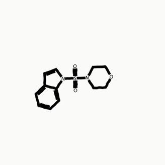 O=S(=O)(N1CCOCC1)n1ccc2ccccc21